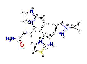 NC(=O)/C=C/c1c(-c2c(-c3ccn(C4CC4)n3)nc3sccn23)ccc2nccn12